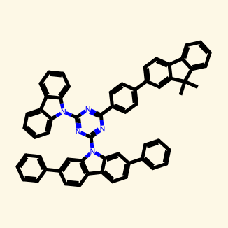 CC1(C)c2ccccc2-c2ccc(-c3ccc(-c4nc(-n5c6ccccc6c6ccccc65)nc(-n5c6cc(-c7ccccc7)ccc6c6ccc(-c7ccccc7)cc65)n4)cc3)cc21